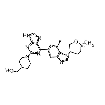 C[C@@H]1CCC(n2cnc3cc(-c4nc(N5CCC(CO)CC5)nc5[nH]cnc45)cc(F)c32)CO1